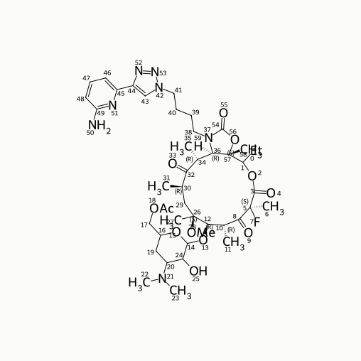 CCC1OC(=O)[C@@](C)(F)C(=O)[C@H](C)[C@@H](OC2OC(COC(C)=O)CC(N(C)C)C2O)[C@@](C)(OC)C[C@@H](C)C(=O)[C@H](C)[C@H]2N(CCCCn3cc(-c4cccc(N)n4)nn3)C(=O)O[C@]12C